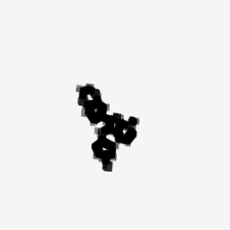 Cn1cccc2c(Sc3ccc(Cl)cc3)c(-c3ccc4c(c3)OCCO4)nc1-2